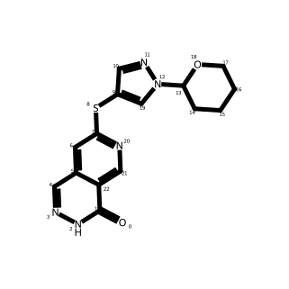 O=c1[nH]ncc2cc(Sc3cnn(C4CCCCO4)c3)ncc12